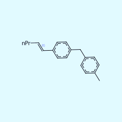 CCC/C=C/c1ccc(Cc2ccc(C)cc2)cc1